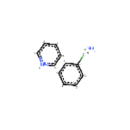 Clc1ccccc1.N.c1ccncc1